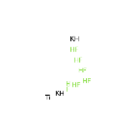 F.F.F.F.F.F.[KH].[KH].[Ti]